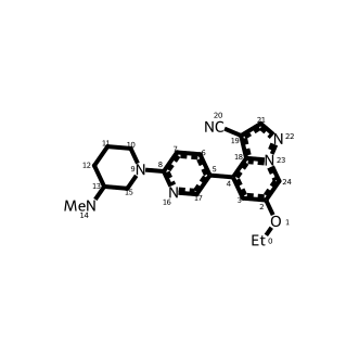 CCOc1cc(-c2ccc(N3CCCC(NC)C3)nc2)c2c(C#N)cnn2c1